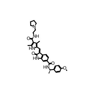 COc1ccc([C@@H](C)NC(=O)c2ccc3c(c2)NC(=O)C3=Cc2[nH]c(C)c(C(=O)NCCN3CCCC3)c2C)cc1